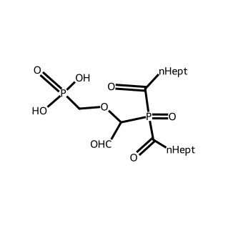 CCCCCCCC(=O)P(=O)(C(=O)CCCCCCC)C(C=O)OCP(=O)(O)O